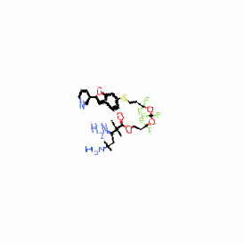 CC(C)(N)CC(N)C(C)(C)C(=O)OCCC(F)(F)OC(F)(F)OC(F)(F)CCSc1ccc2cc(-c3cccnc3)oc2c1